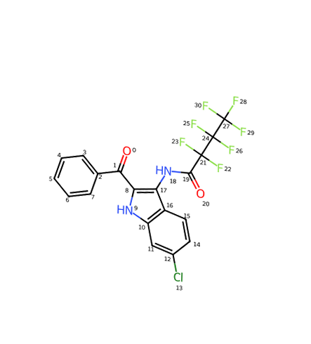 O=C(c1ccccc1)c1[nH]c2cc(Cl)ccc2c1NC(=O)C(F)(F)C(F)(F)C(F)(F)F